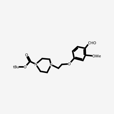 COc1cc(OCCN2CCN(C(=O)OC(C)(C)C)CC2)ccc1C=O